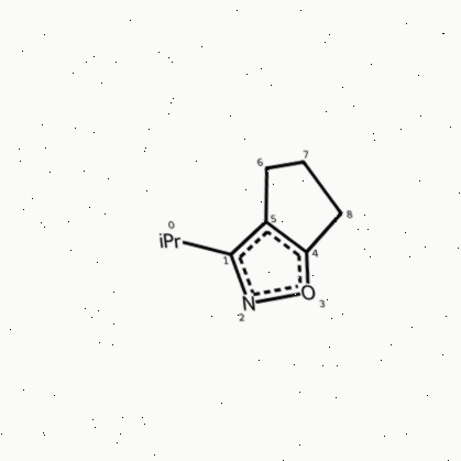 CC(C)c1noc2c1CCC2